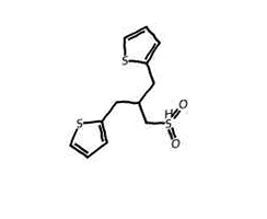 O=[SH](=O)CC(Cc1cccs1)Cc1cccs1